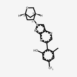 Cc1cc(C(F)(F)F)cc(O)c1-c1cnc2cn([C@H]3C[C@H]4C[C@@H]3CO4)nc2n1